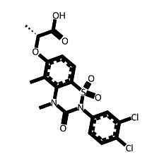 Cc1c(O[C@H](C)C(=O)O)ccc2c1N(C)C(=O)N(c1ccc(Cl)c(Cl)c1)S2(=O)=O